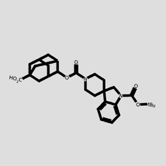 CC(C)(C)OC(=O)N1CC2(CCN(C(=O)OC3C4CC5CC3CC(C(=O)O)(C5)C4)CC2)c2ccccc21